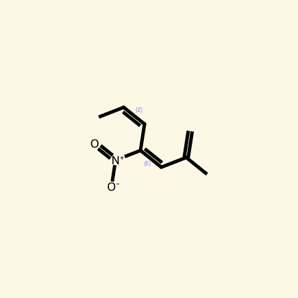 C=C(C)/C=C(\C=C/C)[N+](=O)[O-]